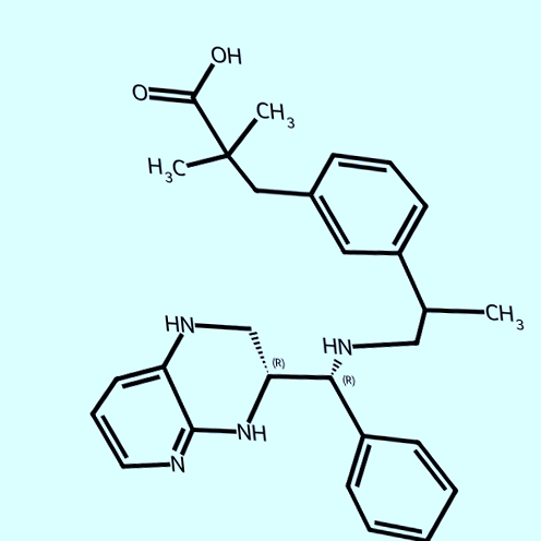 CC(CN[C@H](c1ccccc1)[C@H]1CNc2cccnc2N1)c1cccc(CC(C)(C)C(=O)O)c1